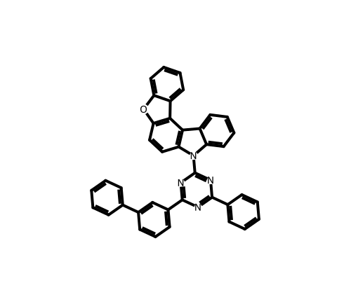 c1ccc(-c2cccc(-c3nc(-c4ccccc4)nc(-n4c5ccccc5c5c6c(ccc54)oc4ccccc46)n3)c2)cc1